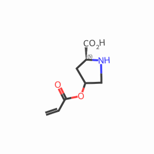 C=CC(=O)OC1CN[C@H](C(=O)O)C1